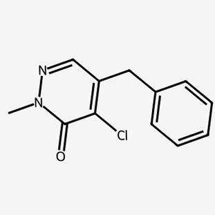 Cn1ncc(Cc2ccccc2)c(Cl)c1=O